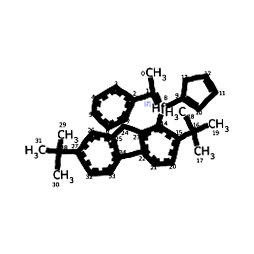 C/[C](c1ccccc1)=[Hf](\[C]1=CC=CC1)[c]1c(C(C)(C)C)ccc2c1Cc1cc(C(C)(C)C)ccc1-2